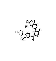 CC(C)n1c(=O)cnc2c(F)cc(-c3nc(Nc4ccc(N5CCNCC5)c(C#N)c4)ncc3F)cc21